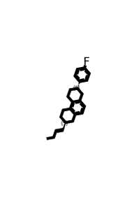 CCC=C[C@H]1CCc2c(ccc3c2CC[C@H](c2ccc(F)cc2)C3)C1